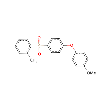 [CH2]c1ccccc1S(=O)(=O)c1ccc(Oc2ccc(OC)cc2)cc1